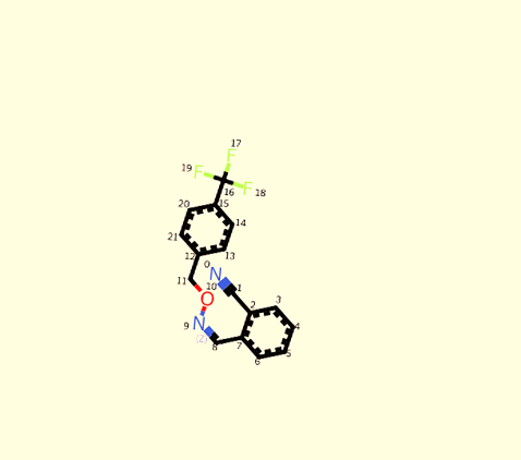 N#Cc1ccccc1/[C]=N\OCc1ccc(C(F)(F)F)cc1